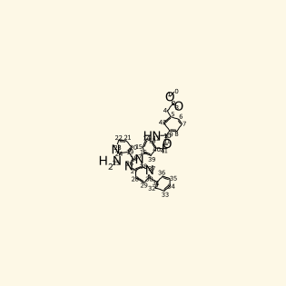 COC(=O)Cc1cccc(C(=O)Nc2ccc(-n3c(-c4cccnc4N)nc4ccc(-c5ccccc5)nc43)cc2F)c1